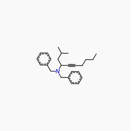 CCCCC#CC(CC(C)C)N(Cc1ccccc1)Cc1ccccc1